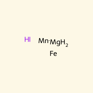 I.[Fe].[MgH2].[Mn]